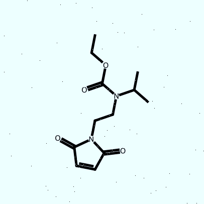 CCOC(=O)N(CCN1C(=O)C=CC1=O)C(C)C